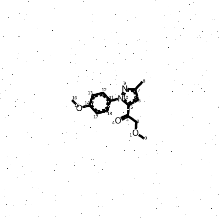 COCC(=O)c1cc(C)nn1-c1ccc(OC)cc1